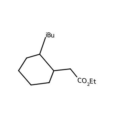 CCOC(=O)CC1CCCCC1C(C)CC